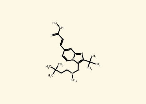 CN(CCC(C)(C)C)Cc1c(C(C)(C)C)nc2cc(C=CC(=O)NO)ccn12